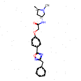 C[C@@H]1C[C@@H](NC(=O)COc2ccc(-c3nc(Cc4ccccc4)no3)cc2)CN1C#N